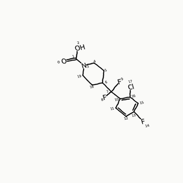 O=C(O)N1CCC(C(F)(F)c2ccc(F)cc2Cl)CC1